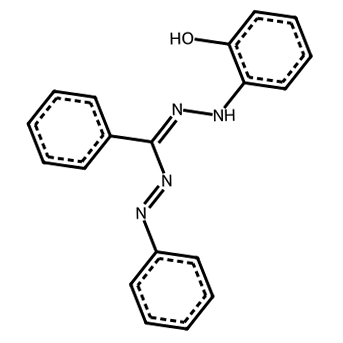 Oc1ccccc1NN=C(N=Nc1ccccc1)c1ccccc1